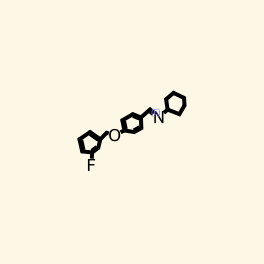 Fc1cccc(COc2ccc(/C=N/C3CCCCC3)cc2)c1